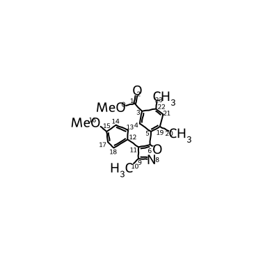 COC(=O)c1cc(-c2onc(C)c2-c2ccc(OC)cc2)c(C)cc1C